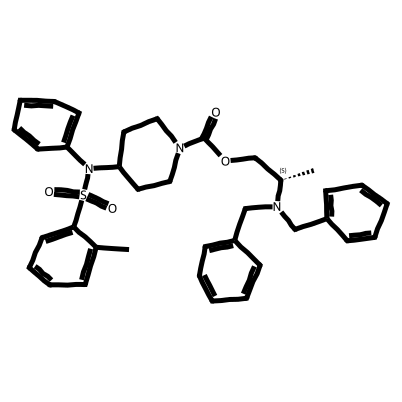 Cc1ccccc1S(=O)(=O)N(c1ccccc1)C1CCN(C(=O)OC[C@H](C)N(Cc2ccccc2)Cc2ccccc2)CC1